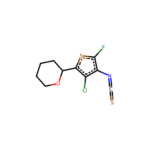 Fc1sc(C2CCCCO2)c(Cl)c1N=C=S